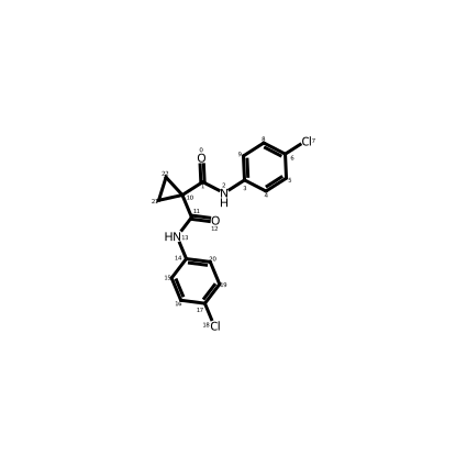 O=C(Nc1ccc(Cl)cc1)C1(C(=O)Nc2ccc(Cl)cc2)CC1